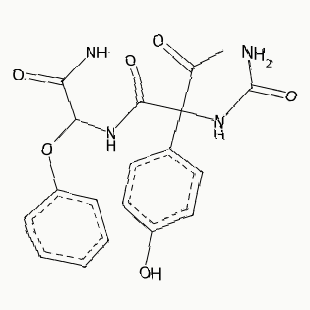 CC(=O)C(NC(N)=O)(C(=O)NC(Oc1ccccc1)C([NH])=O)c1ccc(O)cc1